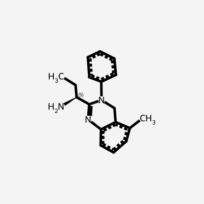 CC[C@H](N)C1=Nc2cccc(C)c2CN1c1ccccc1